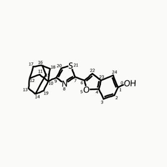 Oc1ccc2oc(-c3nc(C45CC6CC(CC(C6)C4)C5)cs3)cc2c1